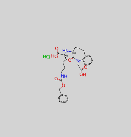 Cl.O=C(O)CN1C(=O)[C@@H](N[C@@H](CCCCNC(=O)OCc2ccccc2)C(=O)O)CCCc2ccccc21